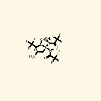 CCC[Si](N(C)C(=O)C(F)(F)F)(N(C)C(=O)C(F)(F)F)N(C)C(=O)C(F)(F)F